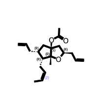 C=CC[C@@H]1C[C@@]2(OC(C)=O)C[C@@H](CC=C)[C@@H](C/C=C\C)[C@@]2(C)O1